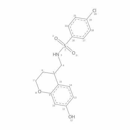 O=S(=O)(NCC1CCOc2cc(O)ccc21)c1ccc(Cl)cc1